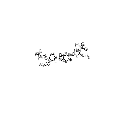 COC1=C(OC[C@H]2CC2(F)F)CCC(c2nc3cnc(OC[C@H](C)NC(C)=O)cc3o2)=C1